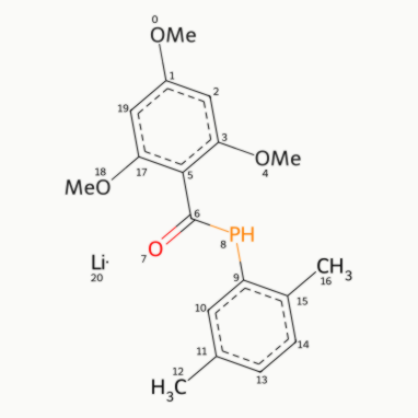 COc1cc(OC)c(C(=O)Pc2cc(C)ccc2C)c(OC)c1.[Li]